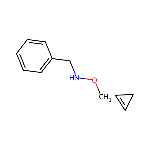 C1=CC1.CONCc1ccccc1